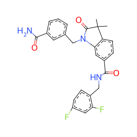 CC1(C)C(=O)N(Cc2cccc(C(N)=O)c2)c2cc(C(=O)NCc3ccc(F)cc3F)ccc21